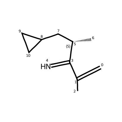 C=C(C)C(=N)[C@@H](C)CC1CC1